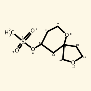 CS(=O)(=O)OC1CCOC2(CCOC2)C1